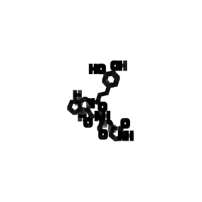 O=C[C@H](C[C@@H]1CCNC1=O)NC(=O)C1[C@H]2CCC[C@H]2CN1C(=O)CCc1ccc(O)c(O)c1